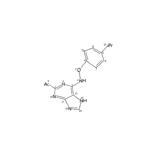 CC(=O)c1nc(NOc2ccc(C(C)C)cc2)c2[nH]cnc2n1